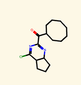 O=C(C1=NC2CCCC2C(Cl)=N1)C1CCCCCCC1